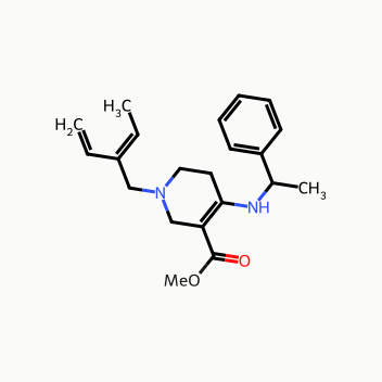 C=CC(=CC)CN1CCC(NC(C)c2ccccc2)=C(C(=O)OC)C1